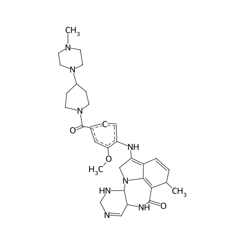 COc1cc(C(=O)N2CCC(N3CCN(C)CC3)CC2)ccc1NC1=C2C=CC(C)C3=C2N(C1)C1NCN=CC1NC3=O